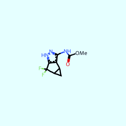 COC(=O)Nc1n[nH]c2c1C1CC1C2(F)F